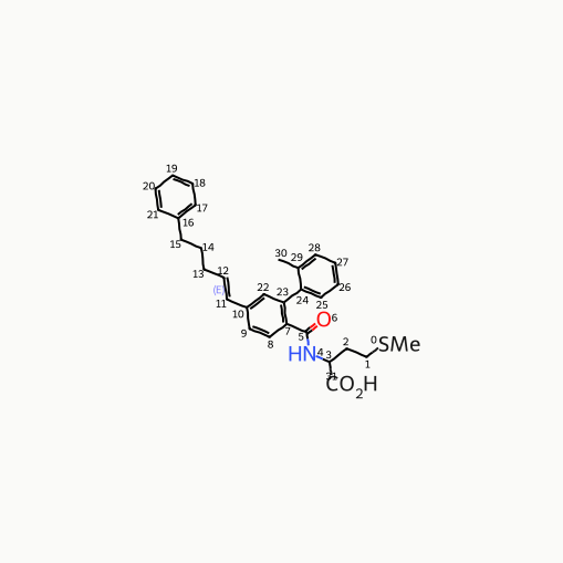 CSCCC(NC(=O)c1ccc(/C=C/CCCc2ccccc2)cc1-c1ccccc1C)C(=O)O